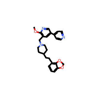 COc1ncc(-c2ccncc2)cc1CN1CCC(CCc2cccc3c2OCO3)CC1